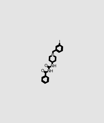 O=C(NC(=O)c1ccccc1)NC1CCN(Cc2cccc(I)c2)CC1